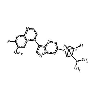 COc1cc2c(-c3cnn4cc(N5C[C@H]6[C@H]7C5C76N(C)C)cnc34)ccnc2cc1F